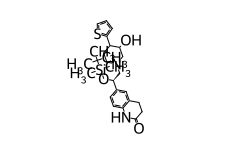 CC(C)(C)[Si](C)(C)O[C@@H](CN1CCC(c2cccs2)C(O)C1)c1ccc2c(c1)CCC(=O)N2